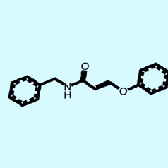 O=C(/C=C/Oc1ccccc1)NCc1ccccc1